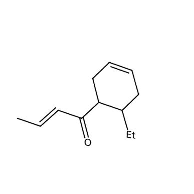 CC=CC(=O)C1CC=CCC1CC